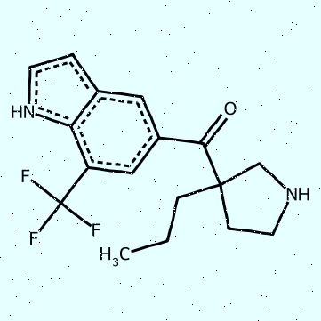 CCCC1(C(=O)c2cc(C(F)(F)F)c3[nH]ccc3c2)CCNC1